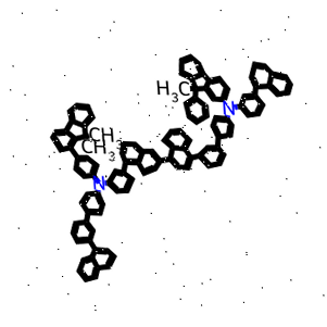 CC1(C)c2ccccc2-c2cccc(-c3ccc(N(c4ccc(-c5cccc(-c6cccc7ccccc67)c5)cc4)c4cccc(-c5cccc6cc(-c7ccc(-c8cccc(-c9ccc(N(c%10cccc(-c%11cccc%12ccccc%11%12)c%10)c%10ccc%11c(c%10)C(C)(c%10ccccc%10)c%10ccccc%10-%11)cc9)c8)c8ccccc78)ccc56)c4)cc3)c21